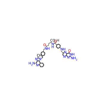 Cc1nc2c(N)nc3ccccc3c2n1Cc1ccc(CNC(=O)CCC(NC(=O)c2ccc(NCc3cnc4nc(N)[nH]c(=O)c4n3)cc2)C(=O)O)cc1